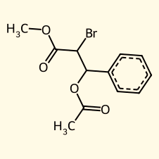 COC(=O)C(Br)C(OC(C)=O)c1ccccc1